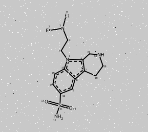 CCN(CC)CCn1c2c(c3cc(S(N)(=O)=O)ccc31)CCNC2